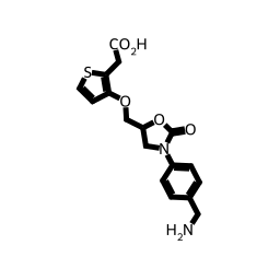 NCc1ccc(N2CC(COc3ccsc3CC(=O)O)OC2=O)cc1